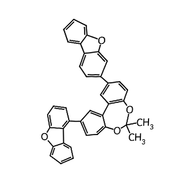 CC1(C)Oc2ccc(-c3ccc4c(c3)oc3ccccc34)cc2-c2cc(-c3cccc4oc5ccccc5c34)ccc2O1